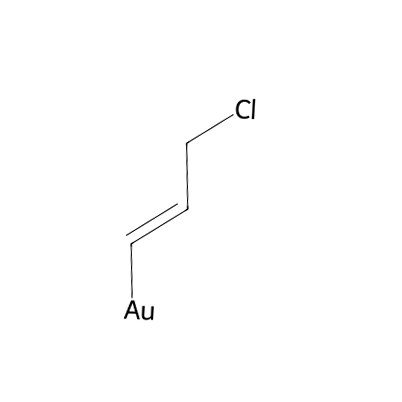 ClCC=[CH][Au]